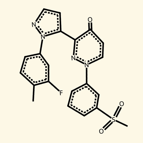 Cc1ccc(-n2nccc2-c2nn(-c3cccc(S(C)(=O)=O)c3)ccc2=O)cc1F